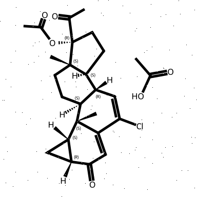 CC(=O)O.CC(=O)O[C@]1(C(C)=O)CC[C@H]2[C@@H]3C=C(Cl)C4=CC(=O)[C@@H]5C[C@@H]5[C@]4(C)[C@H]3CC[C@@]21C